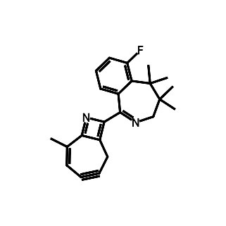 CC1=CC#CCC2=C(C3=NCC(C)(C)C(C)(C)c4c(F)cccc43)N=C12